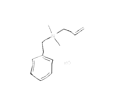 C=CC[N+](C)(C)Cc1ccccc1.[OH-]